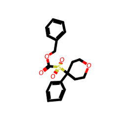 O=C(OCc1ccccc1)S(=O)(=O)C1(c2ccccc2)CCOCC1